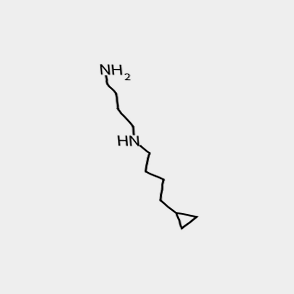 NCCCCNCCCCC1CC1